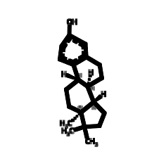 CC1(C)CC[C@H]2[C@@H]3CCc4cc(O)ccc4[C@H]3CC[C@@]21C